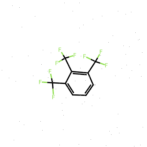 FC(F)(F)c1[c]ccc(C(F)(F)F)c1C(F)(F)F